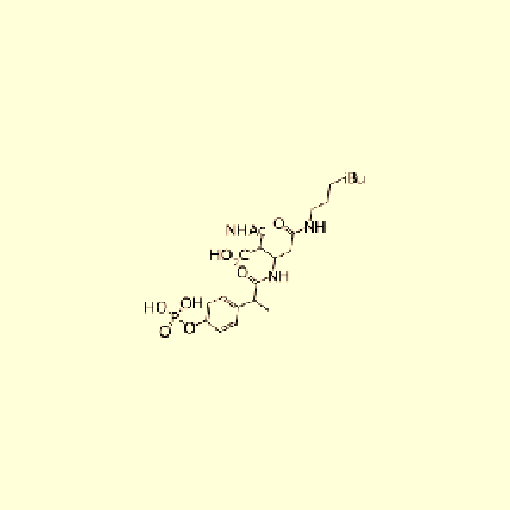 CCC(C)CCCNC(=O)CC(NC(=O)C(C)c1ccc(OP(=O)(O)O)cc1)C(NC(C)=O)C(=O)O